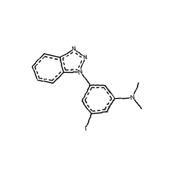 CN(C)c1cc(I)cc(-n2nnc3ccccc32)c1